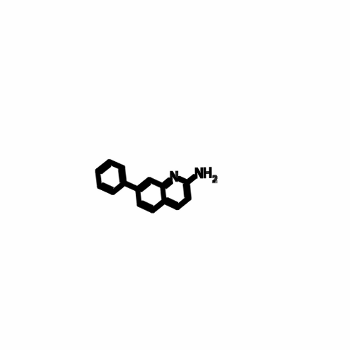 Nc1ccc2ccc(-c3ccccc3)cc2n1